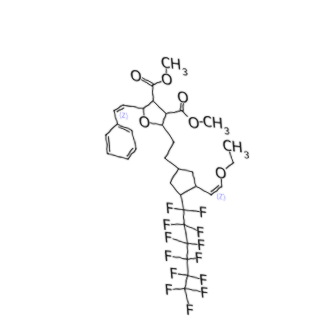 CCO/C=C\C1CC(CCC2OC(/C=C\c3ccccc3)C(C(=O)OC)C2C(=O)OC)CC1C(F)(F)C(F)(F)C(F)(F)C(F)(F)C(F)(F)C(F)(F)F